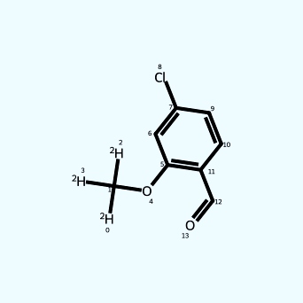 [2H]C([2H])([2H])Oc1cc(Cl)ccc1C=O